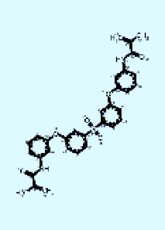 C=C(C)C(=O)Nc1cccc(Oc2cccc(S(=O)(=O)c3cccc(Oc4cccc(NC(=O)C(=C)C)c4)c3)c2)c1